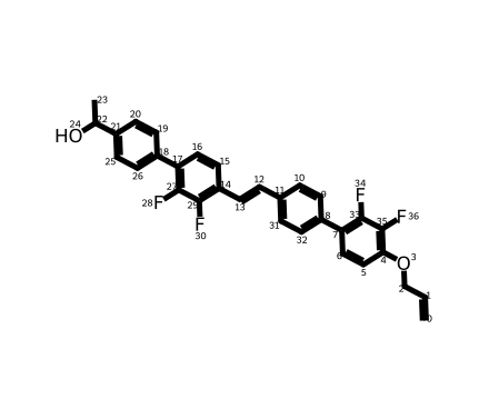 C=CCOc1ccc(-c2ccc(/C=C/c3ccc(-c4ccc(C(C)O)cc4)c(F)c3F)cc2)c(F)c1F